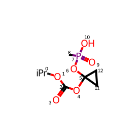 CC(C)OC(=O)OC1(OP(C)(=O)O)CC1